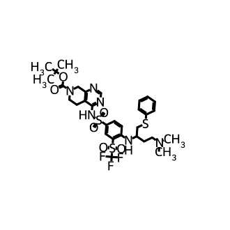 CN(C)CCC(CSc1ccccc1)Nc1ccc(S(=O)(=O)Nc2ncnc3c2CCN(C(=O)OC(C)(C)C)C3)cc1S(=O)(=O)C(F)(F)F